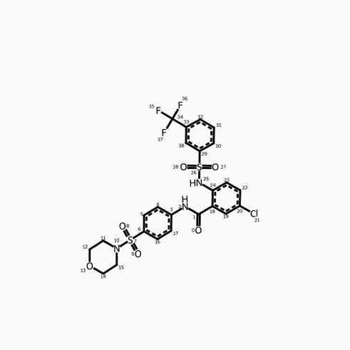 O=C(Nc1ccc(S(=O)(=O)N2CCOCC2)cc1)c1cc(Cl)ccc1NS(=O)(=O)c1cccc(C(F)(F)F)c1